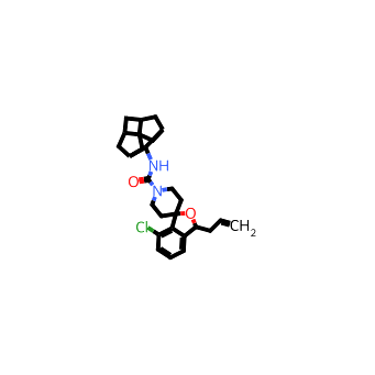 C=CCC1OC2(CCN(C(=O)NC3C4CC5CC6CC3CC56C4)CC2)c2c(Cl)cccc21